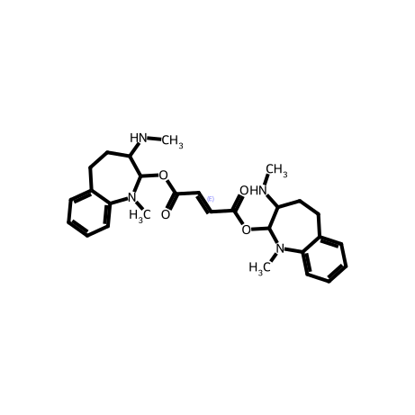 CNC1CCc2ccccc2N(C)C1OC(=O)/C=C/C(=O)OC1C(NC)CCc2ccccc2N1C